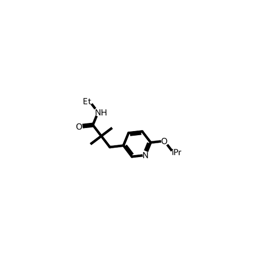 CCNC(=O)C(C)(C)Cc1ccc(OC(C)C)nc1